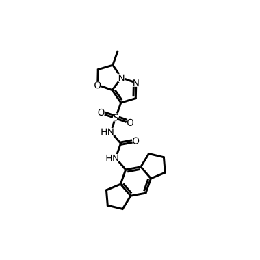 CC1COc2c(S(=O)(=O)NC(=O)Nc3c4c(cc5c3CCC5)CCC4)cnn21